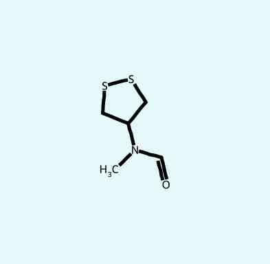 CN(C=O)C1CSSC1